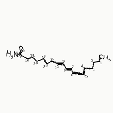 CCCCC\C=C/C=C/C=C/CCCCCCC(N)=O